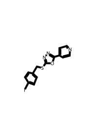 Ic1ccc(CSc2nnc(-c3ccncc3)o2)cc1